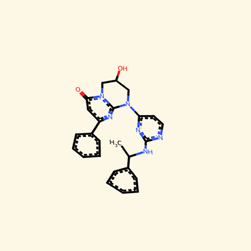 CC(Nc1nccc(N2CC(O)Cn3c2nc(-c2ccccc2)cc3=O)n1)c1ccccc1